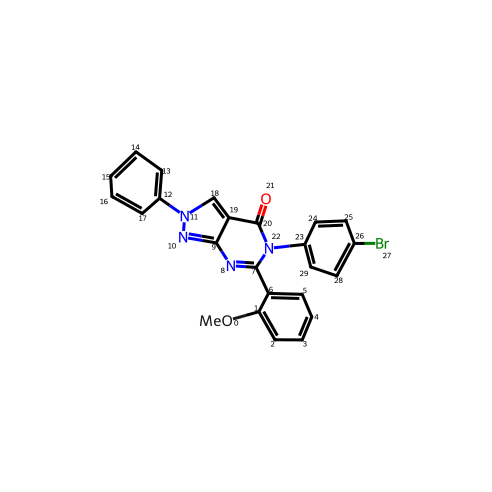 COc1ccccc1-c1nc2nn(-c3ccccc3)cc2c(=O)n1-c1ccc(Br)cc1